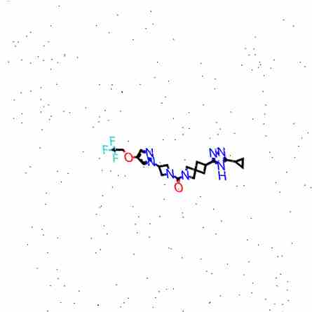 O=C(N1CC(n2cc(OCC(F)(F)F)cn2)C1)N1CC2(CC(c3nnc(C4CC4)[nH]3)C2)C1